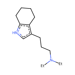 CCN(CC)CCCc1c[nH]c2c1CCCC2